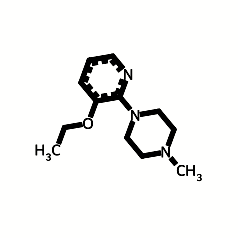 CCOc1cccnc1N1CCN(C)CC1